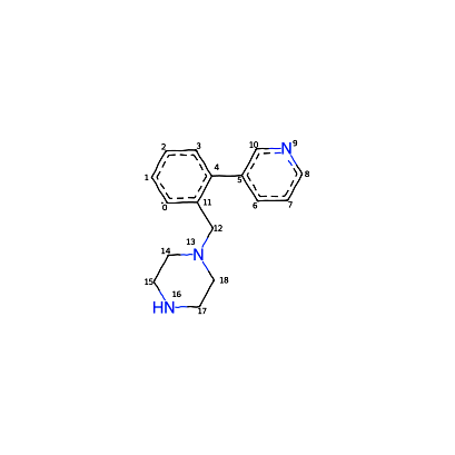 [c]1cccc(-c2cccnc2)c1CN1CCNCC1